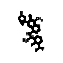 C[C@@H](Nc1ncnc2c1cc(C13CNCC1C3)c(=O)n2C)c1cccc(C(F)F)c1F